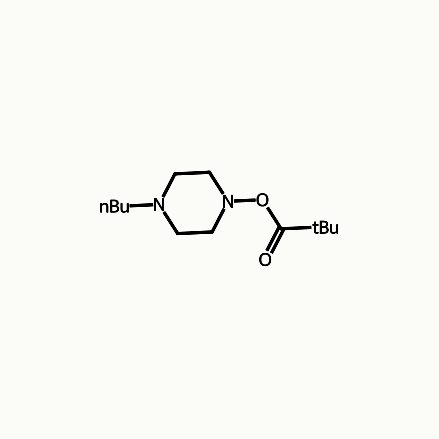 CCCCN1CCN(OC(=O)C(C)(C)C)CC1